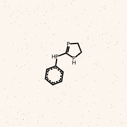 c1ccc(PC2=PCCP2)cc1